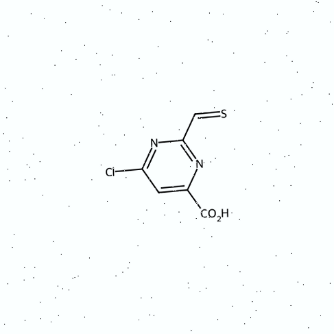 O=C(O)c1cc(Cl)nc(C=S)n1